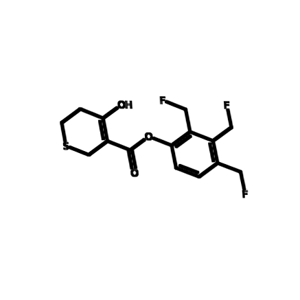 O=C(Oc1ccc(CF)c(CF)c1CF)C1=C(O)CCSC1